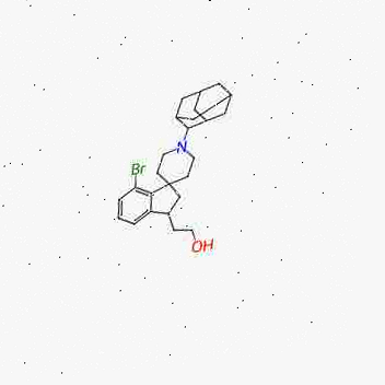 OCCC1CC2(CCN(C3C4CC5CC(C4)CC3C5)CC2)c2c(Br)cccc21